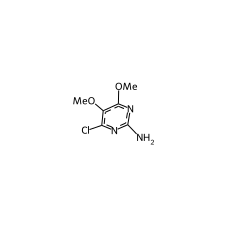 COc1nc(N)nc(Cl)c1OC